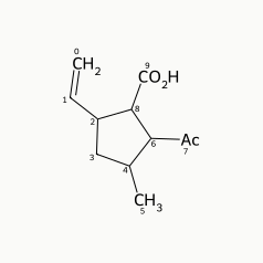 C=CC1CC(C)C(C(C)=O)C1C(=O)O